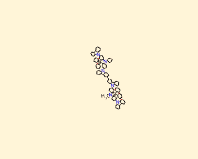 CN1c2ccc(-n3c4ccccc4c4ccccc43)cc2[Si](c2ccccc2)(c2ccccc2)c2cc(-n3c4ccccc4c4cc(-c5ccc6c(c5)c5ccccc5n6-c5ccc6c(c5)[Si](c5ccccc5)(c5ccccc5)c5cc(-n7c8ccccc8c8ccccc87)ccc5N6c5ccccc5)ccc43)ccc21